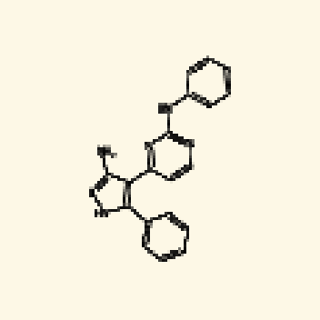 Nc1n[nH]c(-c2ccccc2)c1-c1ccnc(Nc2ccccc2)n1